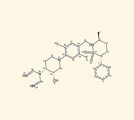 C[C@H]1CC[C@H](c2ccccc2)S(=O)(=O)N1Cc1cc(F)c(N2CC[C@@H](N(C=N)C=N)[C@@H](O)C2)cc1F